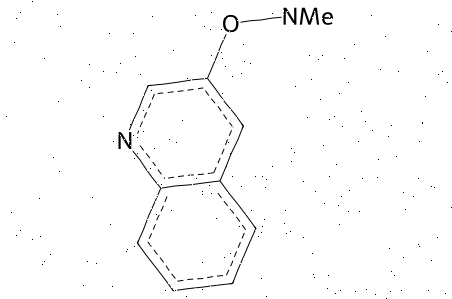 CNOc1cnc2ccccc2c1